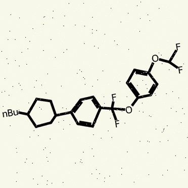 CCCCC1CCC(c2ccc(C(F)(F)Oc3ccc(OC(F)F)cc3)cc2)CC1